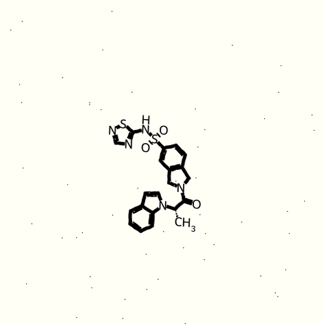 C[C@@H](C(=O)N1Cc2ccc(S(=O)(=O)Nc3ncns3)cc2C1)n1ccc2ccccc21